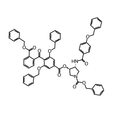 O=C(N[C@@H]1CN(C(=O)OCc2ccccc2)C[C@H]1OC(=O)c1cc(OCc2ccccc2)c(C(=O)c2ccccc2C(=O)OCc2ccccc2)c(OCc2ccccc2)c1)c1ccc(OCc2ccccc2)cc1